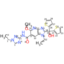 CCn1cnc(NC(=O)c2cc3c(nc2OC)nc(C(O)(c2cccs2)c2cccs2)n3CC)n1